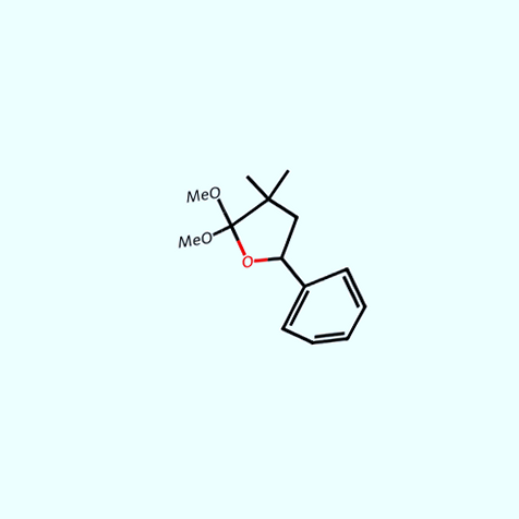 COC1(OC)OC(c2ccccc2)CC1(C)C